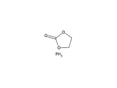 O=C1OCCO1.P